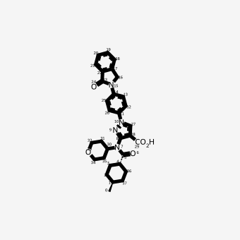 C[C@H]1CC[C@H](C(=O)N(c2nn(-c3ccc(N4Cc5ccccc5C4=O)cc3)cc2C(=O)O)C2CCOCC2)CC1